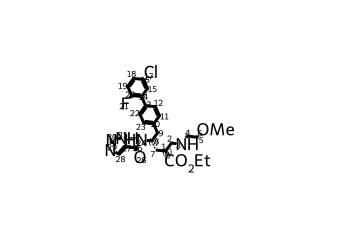 CCOC(=O)[C@H](CNCCOC)C[C@@H](Cc1ccc(-c2cc(Cl)ccc2F)cc1)NC(=O)c1cnn[nH]1